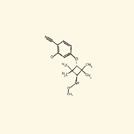 CON[C@H]1C(C)(C)[C@H](Oc2ccc(C#N)c(Cl)c2)C1(C)C